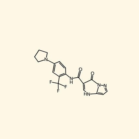 O=C(Nc1ccc(N2CCCC2)cc1C(F)(F)F)c1c[nH]c2ccnn2c1=O